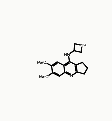 COc1cc2nc3c(c(NC4CNC4)c2cc1OC)CCC3